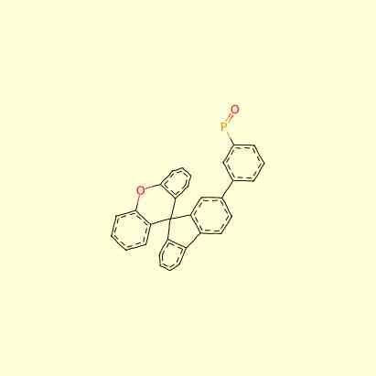 O=Pc1cccc(-c2ccc3c(c2)C2(c4ccccc4Oc4ccccc42)c2ccccc2-3)c1